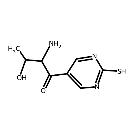 CC(O)C(N)C(=O)c1cnc(S)nc1